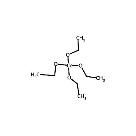 CC[O][Ce]([O]CC)([O]CC)[O]CC